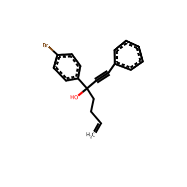 C=CCCC(O)(C#Cc1ccccc1)c1ccc(Br)cc1